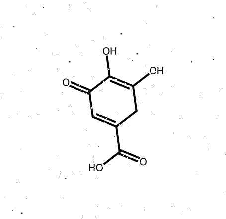 O=C(O)C1=CC(=O)C(O)=C(O)C1